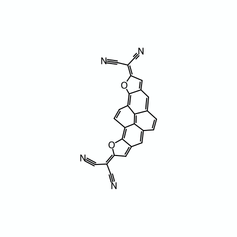 N#CC(C#N)=c1cc2cc3ccc4cc5cc(=C(C#N)C#N)oc5c5ccc(c2o1)c3c45